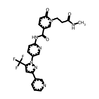 CNC(=O)CCn1cc(C(=O)Nc2ccc(-n3nc(-c4cccnc4)cc3C(F)(F)F)cn2)ccc1=O